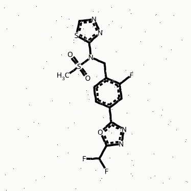 CS(=O)(=O)N(Cc1ccc(-c2nnc(C(F)F)o2)cc1F)c1nncs1